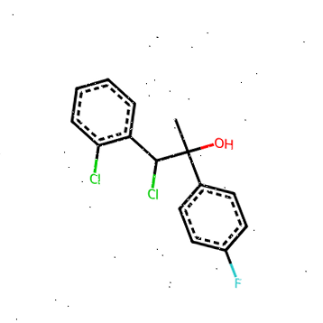 CC(O)(c1ccc(F)cc1)C(Cl)c1ccccc1Cl